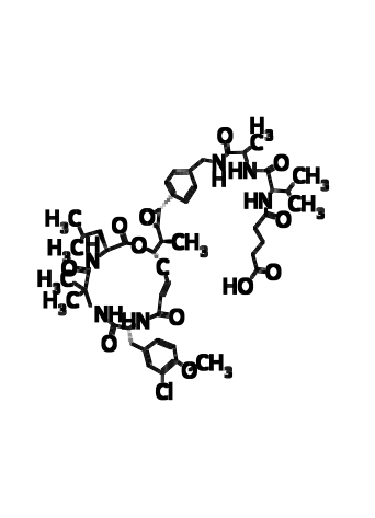 COc1ccc(C[C@H]2NC(=O)/C=C/C[C@@H]([C@H](C)[C@H]3O[C@@H]3c3ccc(CNC(=O)C(C)NC(=O)C(NC(=O)CCCC(=O)O)C(C)C)cc3)OC(=O)[C@H](CC(C)C)NC(=O)C(C)(C)CNC2=O)cc1Cl